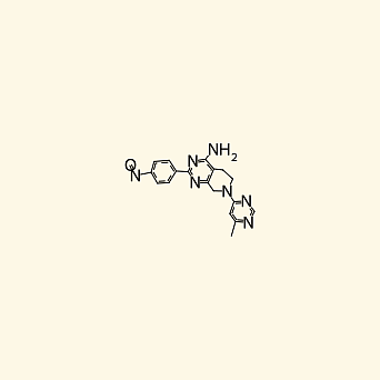 Cc1cc(N2CCc3c(N)nc(-c4ccc(N=O)cc4)nc3C2)ncn1